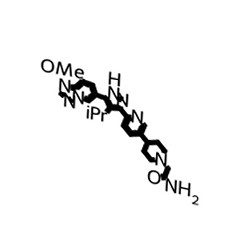 COc1cc(-c2[nH]nc(-c3ccc(C4CCN(CC(N)=O)CC4)cn3)c2C(C)C)cn2ncnc12